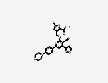 N#Cc1c(-c2ccon2)cc(-c2ccc(N3CCOCC3)cc2)nc1OCc1cc(I)sc1C(=O)O